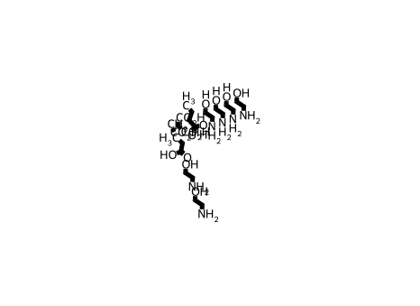 CC(=O)O.CCC(=O)O.CCCC(=O)O.NCCO.NCCO.NCCO.NCCO.NCCO.NCCO.O=C(O)CC(=O)O